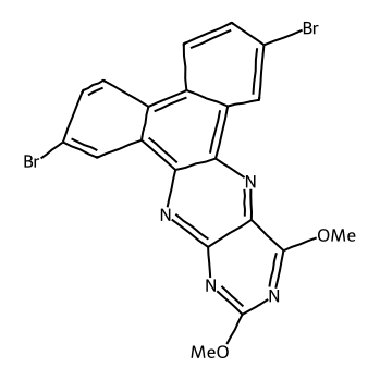 COc1nc(OC)c2nc3c4cc(Br)ccc4c4ccc(Br)cc4c3nc2n1